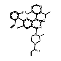 C=CC(=[18O])N1CCN(c2nc(=O)n(-c3c(CF)ccnc3C(C)C)c3nc(-c4c(F)cccc4C=C)c(Cl)cc23)[C@@H](C)C1